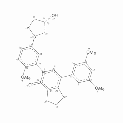 COc1cc(OC)cc(-c2nn(-c3cc(N4CC[C@H](O)C4)ccc3OC)c(=O)c3c2CCC3)c1